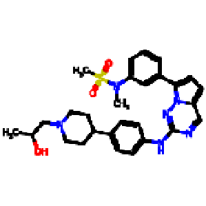 C[C@H](O)CN1CCC(c2ccc(Nc3ncc4ccc(-c5cccc(N(C)S(C)(=O)=O)c5)n4n3)cc2)CC1